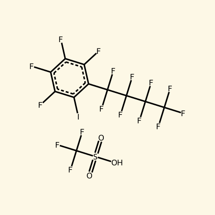 Fc1c(F)c(F)c(C(F)(F)C(F)(F)C(F)(F)C(F)(F)F)c(I)c1F.O=S(=O)(O)C(F)(F)F